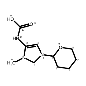 CN1CN(C2CCCCO2)C=C1NC(=O)O